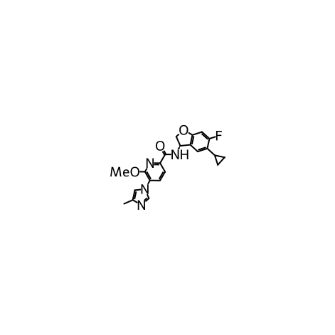 COc1nc(C(=O)N[C@H]2COc3cc(F)c(C4CC4)cc32)ccc1-n1cnc(C)c1